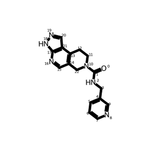 O=C(NCc1cccnc1)N1CCc2c(cnc3[nH]ncc23)C1